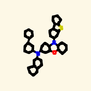 c1ccc(-c2cccc(N(c3ccc4c(c3)Oc3ccccc3N4c3ccc4c(c3)sc3ccccc34)c3ccc4ccccc4c3)c2)cc1